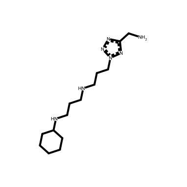 NCc1nnn(CCCNCCCNC2CCCCC2)n1